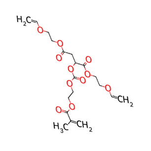 C=COCCOC(=O)CC(OC(=O)OCCOC(=O)C(=C)C)C(=O)OCCOC=C